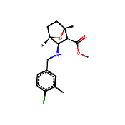 COC(=O)[C@H]1[C@@H](NCc2ccc(F)c(C)c2)[C@@H]2CC[C@H]1O2